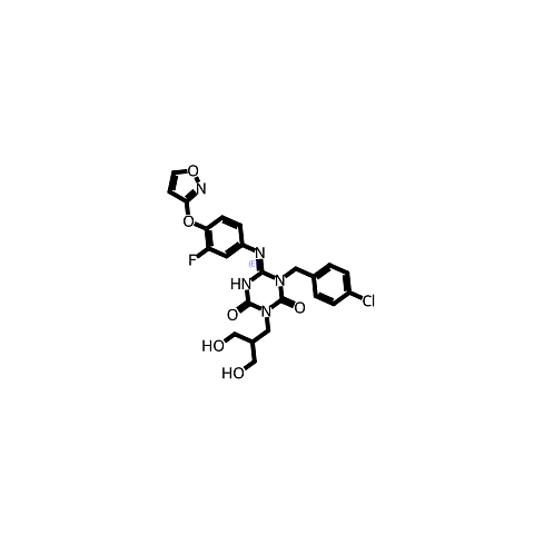 O=c1[nH]/c(=N\c2ccc(Oc3ccon3)c(F)c2)n(Cc2ccc(Cl)cc2)c(=O)n1CC(CO)CO